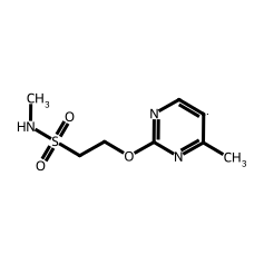 CNS(=O)(=O)CCOc1nc[c]c(C)n1